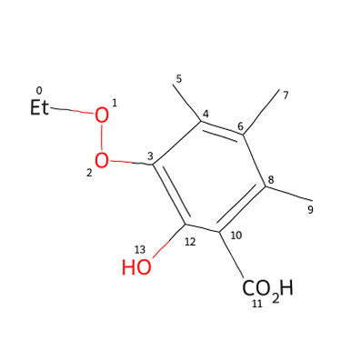 CCOOc1c(C)c(C)c(C)c(C(=O)O)c1O